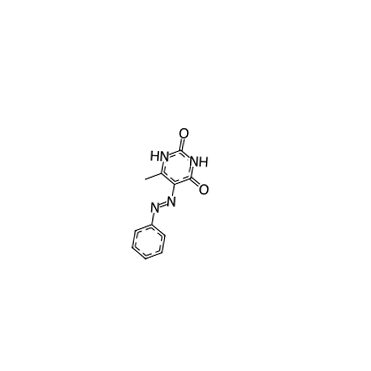 Cc1[nH]c(=O)[nH]c(=O)c1N=Nc1ccccc1